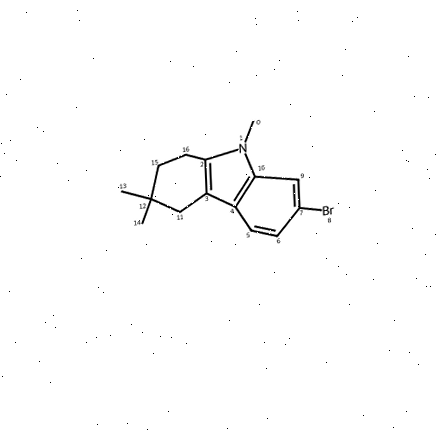 Cn1c2c(c3ccc(Br)cc31)CC(C)(C)CC2